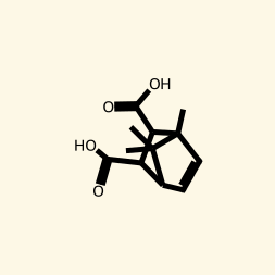 CC1(C)C2C=CC1(C)C(C(=O)O)C2C(=O)O